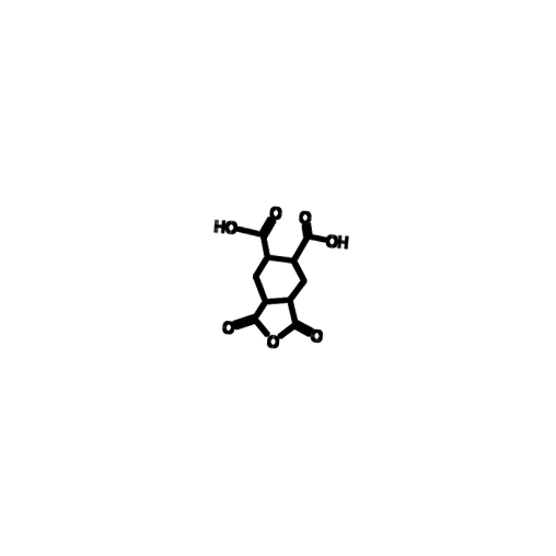 O=C(O)C1CC2C(=O)OC(=O)C2CC1C(=O)O